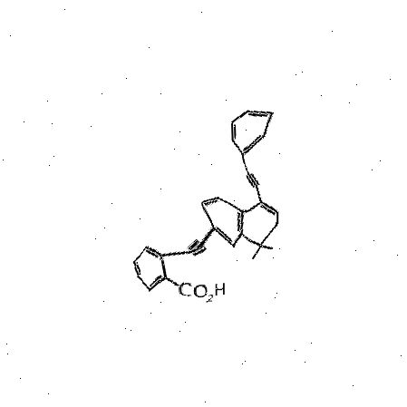 CC1(C)CC=C(C#Cc2ccccc2)c2ccc(C#Cc3ccccc3C(=O)O)cc21